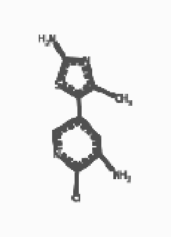 Cc1nc(N)sc1-c1cnc(Cl)c(N)c1